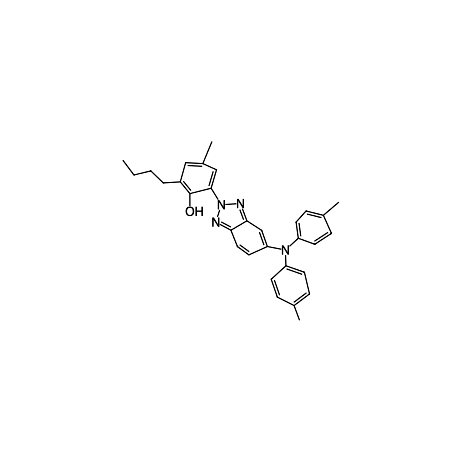 CCCCc1cc(C)cc(-n2nc3ccc(N(c4ccc(C)cc4)c4ccc(C)cc4)cc3n2)c1O